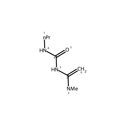 C=C(NC)NC(=O)NCCC